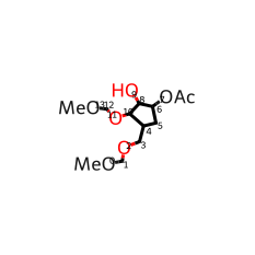 COCOCC1CC(OC(C)=O)C(O)C1OCOC